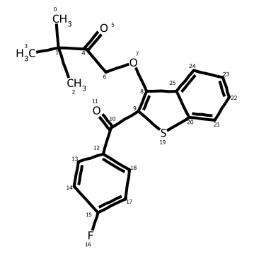 CC(C)(C)C(=O)COc1c(C(=O)c2ccc(F)cc2)sc2ccccc12